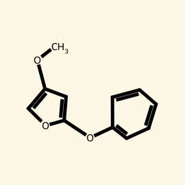 COc1coc(Oc2ccccc2)c1